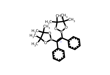 CC1(C)OB(/C(=C(\B2OC(C)(C)C(C)(C)O2)c2ccccc2)c2ccccc2)OC1(C)C